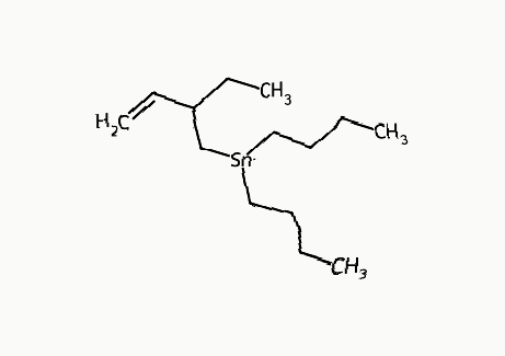 C=CC(CC)[CH2][Sn]([CH2]CCC)[CH2]CCC